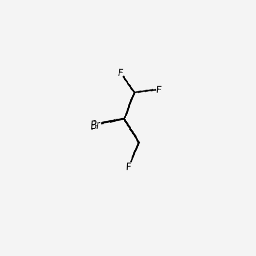 FCC(Br)C(F)F